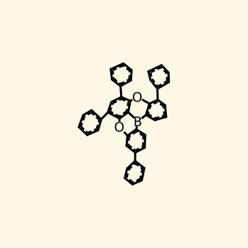 c1ccc(-c2ccc3c(c2)Oc2c(-c4ccccc4)cc(-c4ccccc4)c4c2B3c2cccc(-c3ccccc3)c2O4)cc1